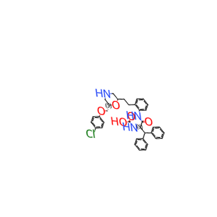 O=C(O)N[C@H](C(=O)Nc1ccccc1CCC1CNC[C@@H](COc2ccc(Cl)cc2)O1)C(c1ccccc1)c1ccccc1